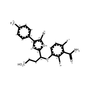 NC(=O)c1c(F)ccc(OC(CCC(=O)O)c2nc(-c3ccc(C(F)(F)F)cc3)c(Br)o2)c1F